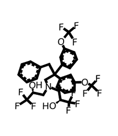 O[C@@H](CN(C[C@H](O)C(F)(F)F)CC(Cc1ccccc1)(c1cccc(OC(F)(F)F)c1)c1cccc(OC(F)(F)F)c1)C(F)(F)F